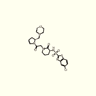 O=C1[C@@H](NS(=O)(=O)c2nc3cc(Cl)ccc3s2)CCCN1CC(=O)N1CCC[C@H]1CN1CCOCC1